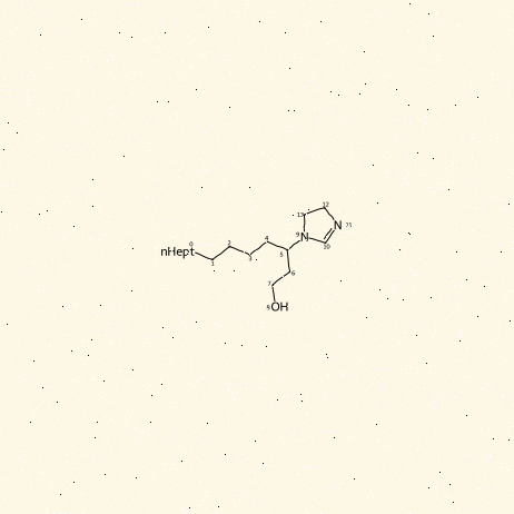 CCCCCCCCCCCC(CCO)N1C=NCC1